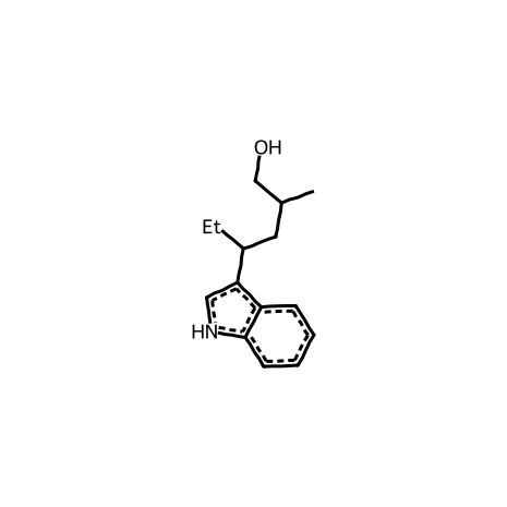 CCC(CC(C)CO)c1c[nH]c2ccccc12